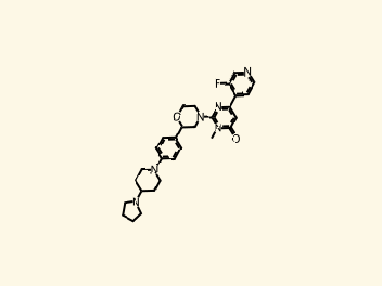 Cn1c(N2CCOC(c3ccc(N4CCC(N5CCCC5)CC4)cc3)C2)nc(-c2ccncc2F)cc1=O